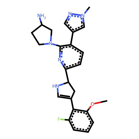 COc1cccc(F)c1C1=CNC(c2ccc(-c3cnn(C)c3)c(N3CCC(N)C3)n2)C1